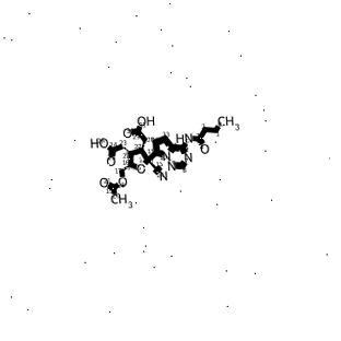 CCCC(=O)Nc1ncnn2c([C@]3(C#N)O[C@@H](COC(C)=O)[C@H](CC(=O)O)[C@H]3CC(=O)O)ccc12